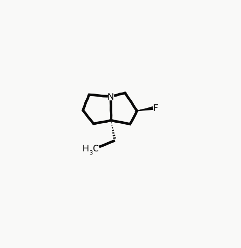 CC[C@]12CCCN1C[C@@H](F)C2